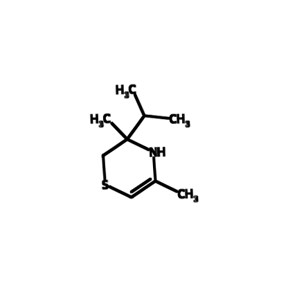 CC1=CSCC(C)(C(C)C)N1